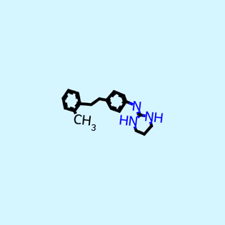 Cc1ccccc1CCc1ccc(N=C2NCCCN2)cc1